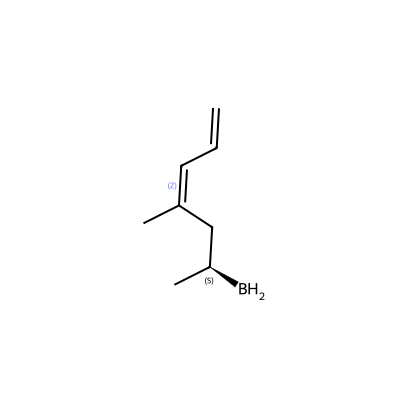 B[C@@H](C)C/C(C)=C\C=C